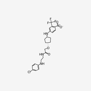 O=C(CO[C@H]1CC[C@H](Nc2ccc([N+](=O)[O-])c(C(F)(F)F)c2)CC1)NCCNc1ccc(Cl)cc1